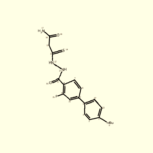 CCCCc1ccc(-c2ccc(C(=O)NNC(=S)CC(N)=O)c(F)c2)cc1